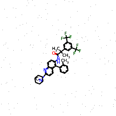 Cc1ccccc1-c1c(NC(=O)C(C)(C)c2cc(C(F)(F)F)cc(C(F)(F)F)c2)ccc2nc(N3CC4CCC3CC4)ccc12